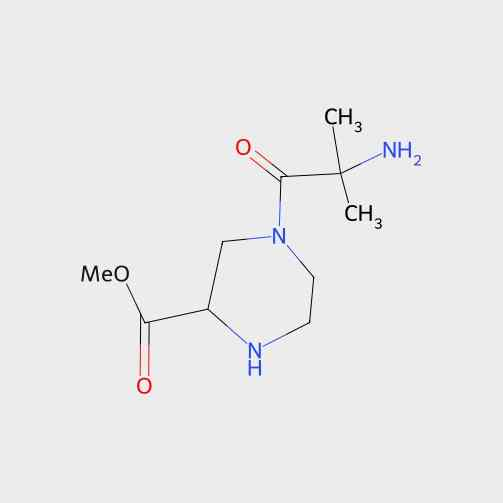 COC(=O)C1CN(C(=O)C(C)(C)N)CCN1